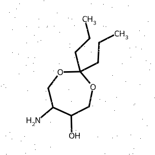 CCCC1(CCC)OCC(N)C(O)CO1